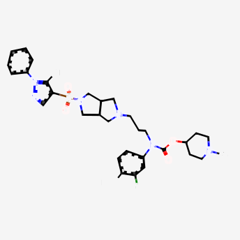 CC(=O)N1CCC(OC(=O)N(CCCN2CC3CN(S(=O)(=O)c4cnn(-c5ccccc5)c4C)CC3C2)c2ccc(C)c(Cl)c2)CC1